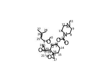 CO[C@@H]1[C@H](OC(=O)N2CCN(C)CC2)CC[C@]2(CO2)[C@H]1[C@@]1(C)O[C@@H]1CC=C(C)C